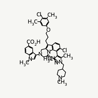 Cc1cc(OCCCc2c3n(c4c(-c5c(C)nn(CC6CCN(C)CC6)c5C)c(Cl)ccc24)[C@H](C)CN(c2cn(C)c4ccc(C(=O)O)cc24)C3)cc(C)c1Cl